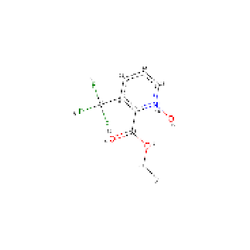 CCOC(=O)c1c(C(F)(F)F)ccc[n+]1[O-]